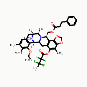 COCOc1c(OC)c(C)cc2c1[C@@H]1C3Cc4c(OC(=O)C(F)(F)C(F)(F)C(F)(F)F)c(C)c5c(c4[C@H](COC(=O)CCc4ccccc4)N3[C@@H](C#N)[C@@H](C2)N1C)OCO5